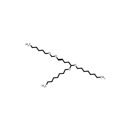 CCCCCCCCOC(CCC=COCOCCCCCC)OCCCCCCCC